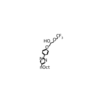 CCCCCCCCc1cnc(-c2ccc(OC[C@H](O)COCC(F)(F)F)cc2)nc1